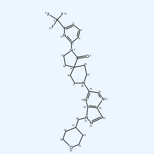 O=C1N(c2cccc(C(F)(F)F)n2)CCC12CCN(c1cnc3cnn(CC4CCOCC4)c3n1)CC2